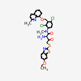 CCOc1ccc2nc(SCC(=O)C(N)C(=O)N(C)c3ccc(Cl)c(COc4cccc5ccc(C)nc45)c3Cl)sc2c1